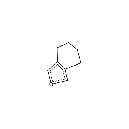 c1occ2c1CCCC2